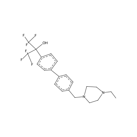 CCN1CCN(Cc2ccc(-c3ccc(C(O)(C(F)(F)F)C(F)(F)F)cc3)cc2)CC1